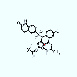 CC1CC(c2cc(Cl)ccc2N(c2ccon2)S(=O)(=O)c2ccc3[nH]c(=O)ccc3c2)=CCN1.O=C(O)C(F)(F)F